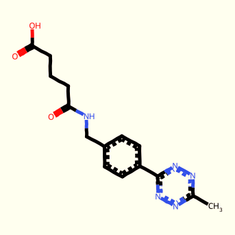 Cc1nnc(-c2ccc(CNC(=O)CCCC(=O)O)cc2)nn1